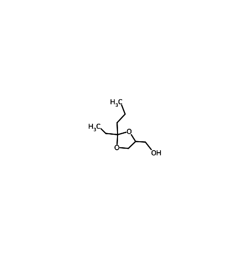 CCCC1(CC)OCC(CO)O1